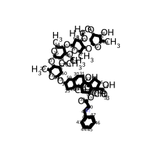 COC1CC(OC2C(C)OC(OC3C(C)OC(OC4C(C)OC(OC5CCC6(C)C(=CCC7(O)C6CC(OC(=O)/C=C/c6ccccc6)C6(C)C(C)(C(=O)O)CCC76O)C5)CC4OC)CC3OC)CC2OC)OC(C)C1O